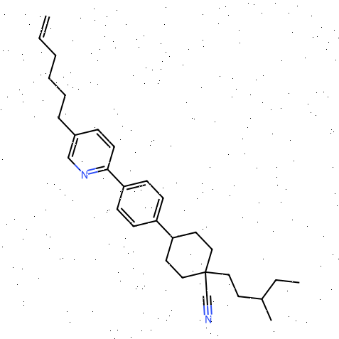 C=CCCCCc1ccc(-c2ccc(C3CCC(C#N)(CCC(C)CC)CC3)cc2)nc1